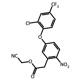 N#CCOC(=O)Cc1cc(Oc2ccc(C(F)(F)F)cc2Cl)ccc1[N+](=O)[O-]